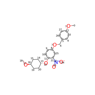 COc1ccc(COc2ccc(O[C@H]3CC[C@H](OC)CC3)c([N+](=O)[O-])c2)cc1